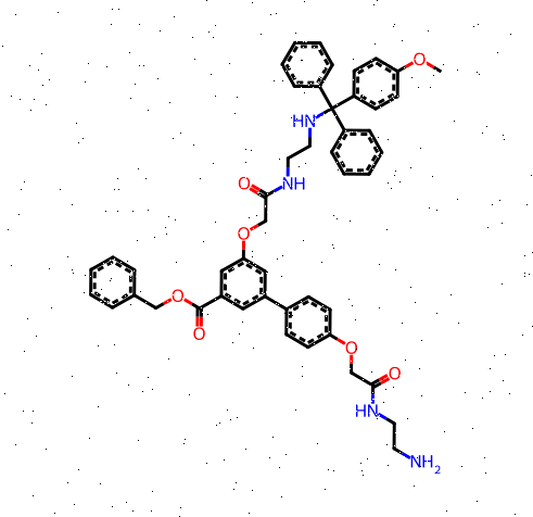 COc1ccc(C(NCCNC(=O)COc2cc(C(=O)OCc3ccccc3)cc(-c3ccc(OCC(=O)NCCN)cc3)c2)(c2ccccc2)c2ccccc2)cc1